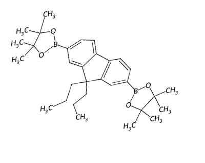 CCCC1(CCC)c2cc(B3OC(C)(C)C(C)(C)O3)ccc2-c2ccc(B3OC(C)(C)C(C)(C)O3)cc21